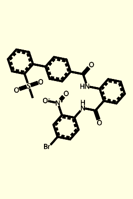 CS(=O)(=O)c1ccccc1-c1ccc(C(=O)Nc2ccccc2C(=O)Nc2ccc(Br)cc2[N+](=O)[O-])cc1